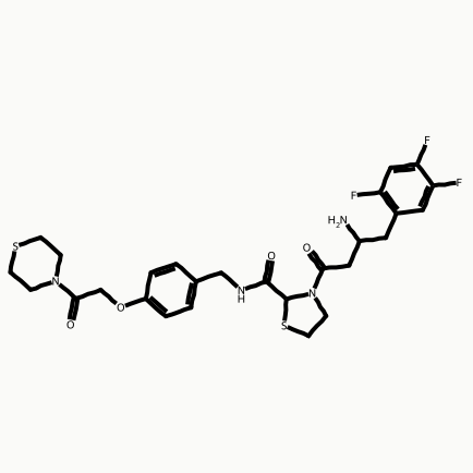 NC(CC(=O)N1CCSC1C(=O)NCc1ccc(OCC(=O)N2CCSCC2)cc1)Cc1cc(F)c(F)cc1F